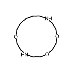 C1CCNCCOCCOCCNCCOCC1